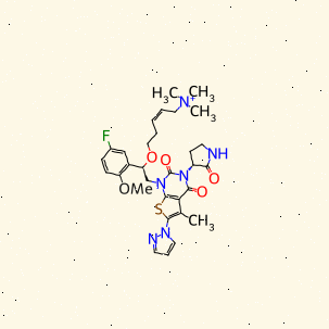 COc1ccc(F)cc1[C@H](Cn1c(=O)n([C@H]2CCNC2=O)c(=O)c2c(C)c(-n3cccn3)sc21)OCC/C=C\C[N+](C)(C)C